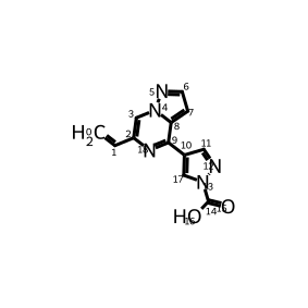 C=Cc1cn2nccc2c(-c2cnn(C(=O)O)c2)n1